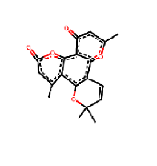 Cc1cc(=O)c2c(o1)c1c(c3c(C)[c]c(=O)oc32)OC(C)(C)C=C1